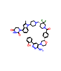 Cc1cc2c(N3CCC(=O)NC3=O)cccc2n1C1CCN(C[C@H]2CCN(C(=O)c3ccc([C@H]4CN(c5cc(-c6ccccc6O)nnc5N)CCO4)cc3)CC2(F)F)CC1